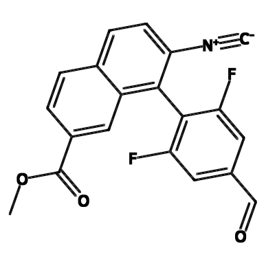 [C-]#[N+]c1ccc2ccc(C(=O)OC)cc2c1-c1c(F)cc(C=O)cc1F